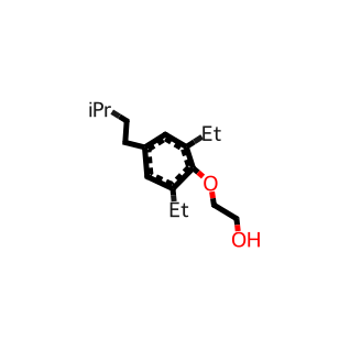 CCc1cc(CCC(C)C)cc(CC)c1OCCO